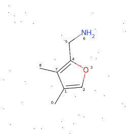 Cc1coc(CN)c1C